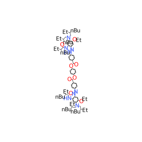 CCCCC(CC)CN(CC(CC)CCCC)c1cc(NC(=O)C(CC)CCCC)c(N=Nc2ccc(C(=O)Oc3ccc(OC(=O)c4ccc(/N=N/c5cc(OCC)c(N(CC(CC)CCCC)CC(CC)CCCC)cc5NC(=O)C(CC)CCCC)cc4)cc3)cc2)cc1OCC